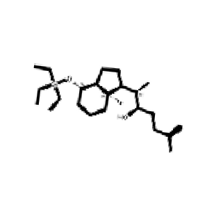 C=C(C)CCC(O)[C@H](C)C1CCC2[C@@H](O[Si](CC)(CC)CC)CCC[C@]12C